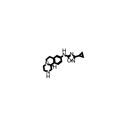 c1cc2c(cc1Nc1nc(C3CC3)no1)CCN1CCNC[C@@H]21